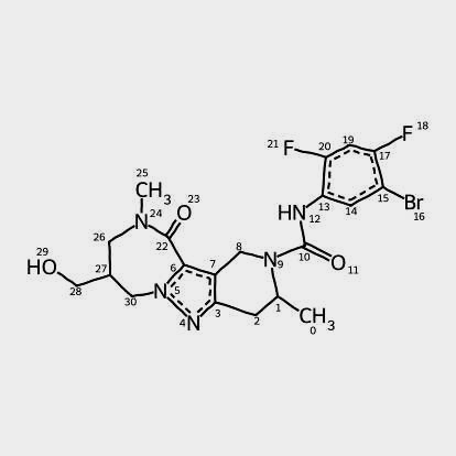 CC1Cc2nn3c(c2CN1C(=O)Nc1cc(Br)c(F)cc1F)C(=O)N(C)CC(CO)C3